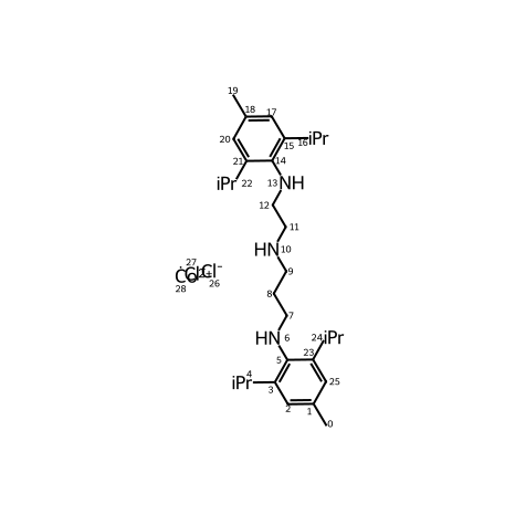 Cc1cc(C(C)C)c(NCCCNCCNc2c(C(C)C)cc(C)cc2C(C)C)c(C(C)C)c1.[Cl-].[Cl-].[Co+2]